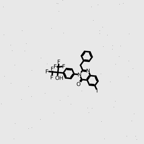 O=c1c2cc(I)ccc2nc(Cc2ccccc2)n1-c1ccc(C(O)(C(F)(F)F)C(F)(F)F)cc1